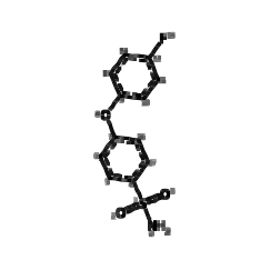 NS(=O)(=O)c1c[c]c(Oc2ccc(F)cc2)cc1